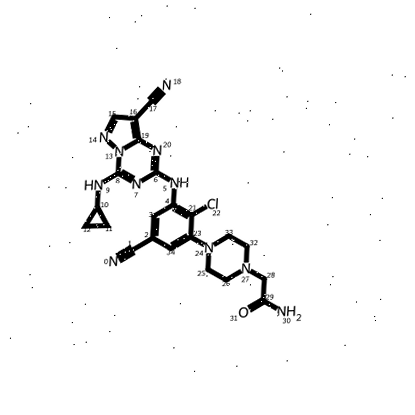 N#Cc1cc(Nc2nc(NC3CC3)n3ncc(C#N)c3n2)c(Cl)c(N2CCN(CC(N)=O)CC2)c1